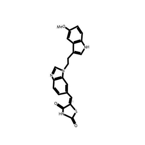 COc1ccc2[nH]cc(CCn3cnc4ccc(/C=C5/SC(=O)NC5=O)cc43)c2c1